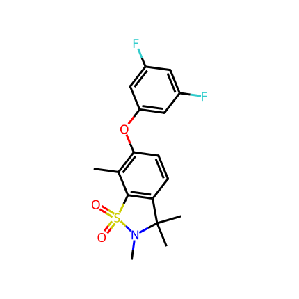 Cc1c(Oc2cc(F)cc(F)c2)ccc2c1S(=O)(=O)N(C)C2(C)C